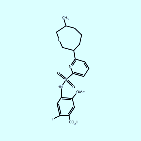 COc1cc(C(=O)O)c(F)cc1NS(=O)(=O)c1cccc(C2CCCC(C)CCC2)n1